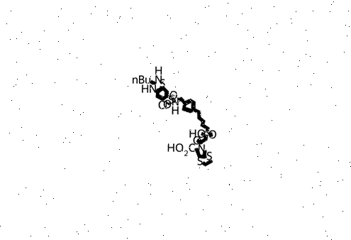 CCCCC1NSc2cc(S(=O)(=O)NCc3ccc(CCCCCP(=O)(O)CC(=O)N4CC5(C[C@H]4C(=O)O)SCCS5)cc3)c(Cl)cc2N1